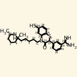 C[C@H]1CCC[C@@](C)(CCCCCN2C(=O)C(c3cccc(C(=N)N)c3)Sc3ccc(S)cc32)N1